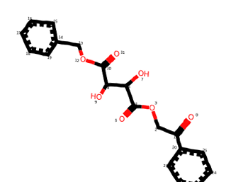 O=C(COC(=O)C(O)C(O)C(=O)OCc1ccccc1)c1ccccc1